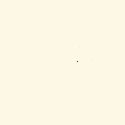 CC1(C)OB([C@H]2C[C@@H]2c2cccc(C(F)(F)F)c2)OC1(C)C